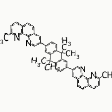 Cc1ccc2ccc3cc(-c4ccc5c(c4)C(C)(C)c4ccc(-c6cnc7c(ccc8ccc(C)nc87)c6)cc4C5(C)C)cnc3c2n1